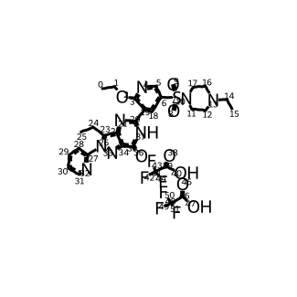 CCOc1ncc(S(=O)(=O)N2CCN(CC)CC2)cc1-c1nc2c(CC)n(-c3ccccn3)nc2c(=O)[nH]1.O=C(O)C(F)(F)F.O=C(O)C(F)(F)F